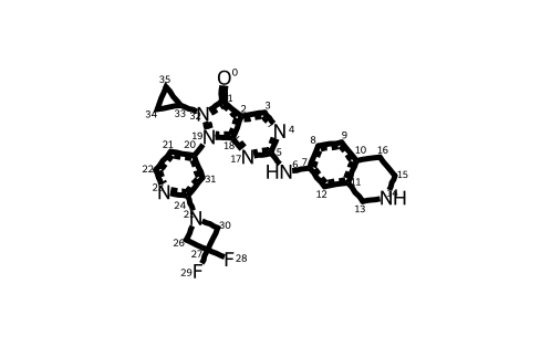 O=c1c2cnc(Nc3ccc4c(c3)CNCC4)nc2n(-c2ccnc(N3CC(F)(F)C3)c2)n1C1CC1